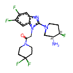 N[C@@H]1CN(c2nc3cc(F)c(F)cc3n2CC(=O)N2CCC(F)(F)CC2)CC[C@H]1F